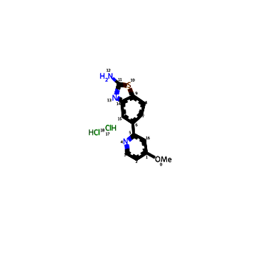 COc1ccnc(-c2ccc3sc(N)nc3c2)c1.Cl.Cl